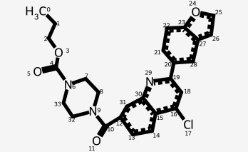 CCCOC(=O)N1CCN(C(=O)c2ccc3c(Cl)cc(-c4ccc5occc5c4)nc3c2)CC1